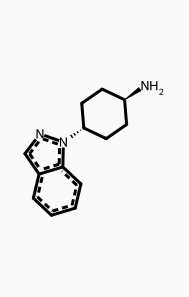 N[C@H]1CC[C@H](n2ncc3ccccc32)CC1